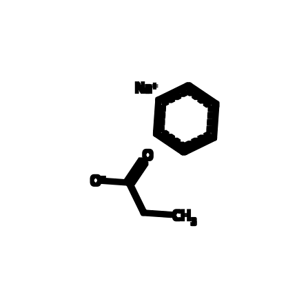 CCC(=O)[O-].[Na+].c1ccccc1